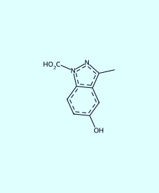 Cc1nn(C(=O)O)c2ccc(O)cc12